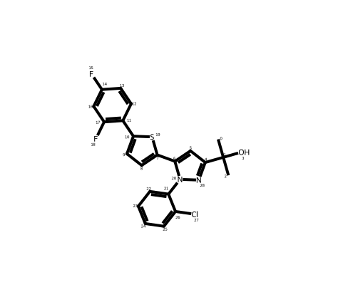 CC(C)(O)c1cc(-c2ccc(-c3ccc(F)cc3F)s2)n(-c2ccccc2Cl)n1